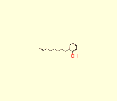 C=CCCCCCCc1ccccc1O